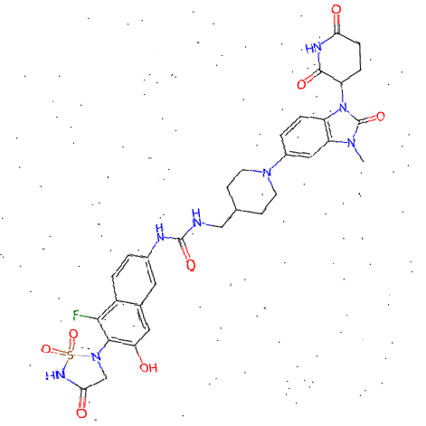 Cn1c(=O)n(C2CCC(=O)NC2=O)c2ccc(N3CCC(CNC(=O)Nc4ccc5c(F)c(N6CC(=O)NS6(=O)=O)c(O)cc5c4)CC3)cc21